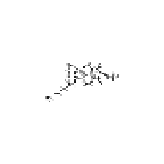 CCCCOC(=O)/C=C(\c1ccccc1)c1ccc2c3c(cccc13)C(=O)N(OSC(F)(F)F)C2=O